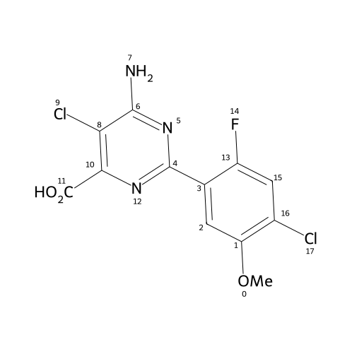 COc1cc(-c2nc(N)c(Cl)c(C(=O)O)n2)c(F)cc1Cl